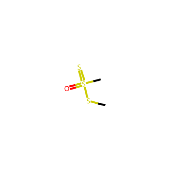 CSS(C)(=O)=S